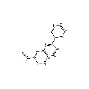 O=CC1=Cc2cc(-c3ccccc3)ccc2OC1